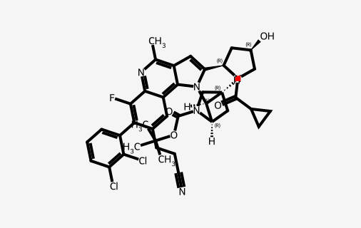 Cc1nc2c(F)c(-c3cccc(Cl)c3Cl)c(CCC#N)cc2c2c1cc([C@H]1C[C@@H](O)CN1C(=O)C1CC1)n2[C@H]1[C@@H]2C[C@H]1N(C(=O)OC(C)(C)C)C2